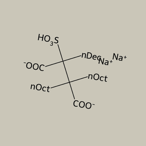 CCCCCCCCCCC(C(=O)[O-])(C(CCCCCCCC)(CCCCCCCC)C(=O)[O-])S(=O)(=O)O.[Na+].[Na+]